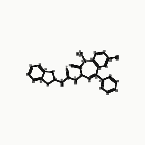 CN1C(=O)C(NC(=S)NC2Cc3ccccc3C2)N=C(c2ccccc2)c2cc(Cl)ccc21